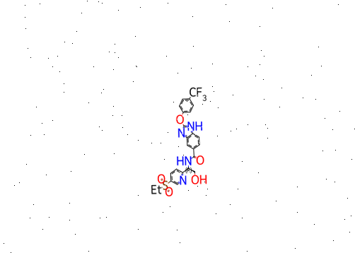 CCS(=O)(=O)c1ccc([C@H](CO)NC(=O)c2ccc3[nH]c(Oc4ccc(C(F)(F)F)cc4)nc3c2)nc1